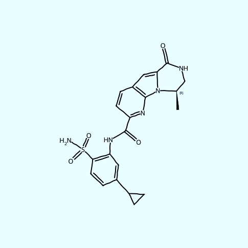 C[C@@H]1CNC(=O)c2cc3ccc(C(=O)Nc4cc(C5CC5)ccc4S(N)(=O)=O)nc3n21